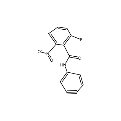 O=C(Nc1cc#ccc1)c1c(F)cccc1[N+](=O)[O-]